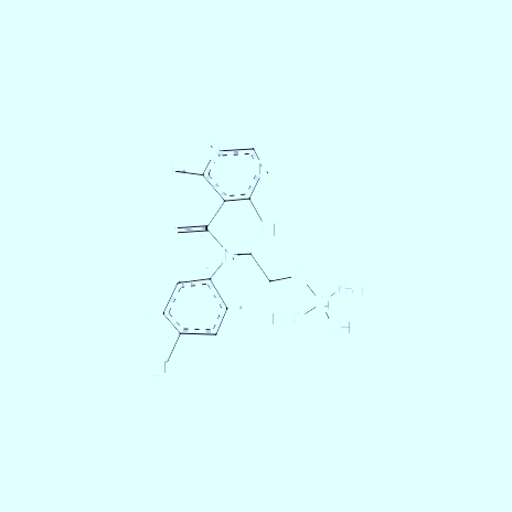 CC(C)(C)[Si](C)(C)OCCN(C(=O)c1c(Cl)ncnc1Cl)c1ccc(I)cc1